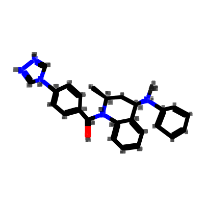 CC(=O)N(c1ccccc1)[C@@H]1C[C@H](C)N(C(=O)c2ccc(-n3cnnc3)cc2)c2ccccc21